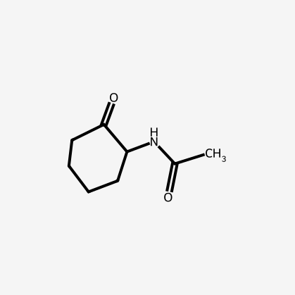 CC(=O)NC1CCCCC1=O